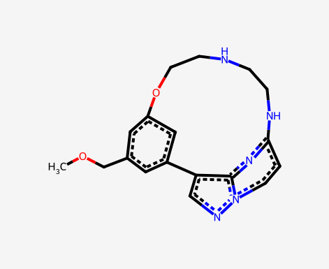 COCc1cc2cc(c1)-c1cnn3ccc(nc13)NCCNCCO2